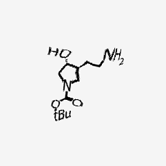 CC(C)(C)OC(=O)N1C[C@H](CCN)[C@@H](O)C1